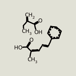 C=C(CC)C(=O)O.CC(=CC=Cc1ccccc1)C(=O)O